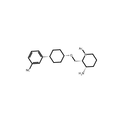 CC(=O)N1CCC[C@H](N)[C@@H]1CO[C@H]1CC[C@@H](c2cccc(C#N)c2)CC1